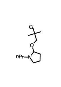 CCCN1CCCC1OCC(C)(C)Cl